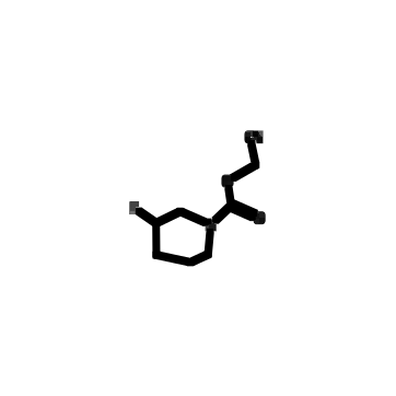 N#CCOC(=O)N1CCCC(F)C1